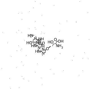 C=C.CC(O)C(N)C(=O)O.CN(CC(=O)O)C(=N)N.CN1CC(=O)NC1=N.CN1CC(=O)NC1=N.CNC